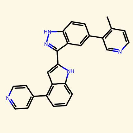 Cc1ccncc1-c1ccc2[nH]nc(-c3cc4c(-c5ccncc5)cccc4[nH]3)c2c1